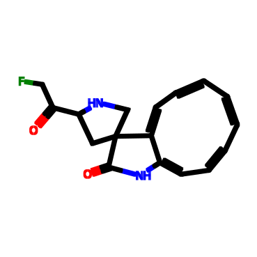 O=C(CF)C1CC2(CN1)C(=O)Nc1ccccccccc12